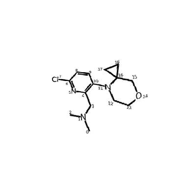 CN(C)Cc1nc(Cl)ccc1N1CCOCC12CC2